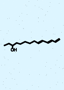 C=CC=CC=CCCCCCC(O)CC